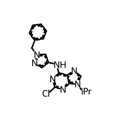 CC(C)n1cnc2c(Nc3cnn(Cc4ccccc4)c3)nc(Cl)nc21